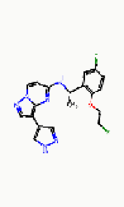 C[C@@H](Nc1ccn2ncc(-c3cn[nH]c3)c2n1)c1cc(F)ccc1OCCF